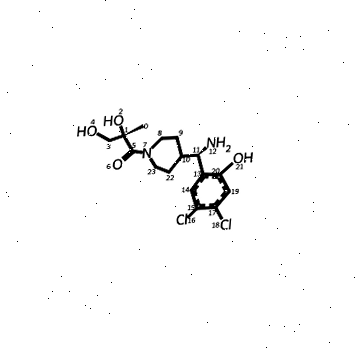 C[C@](O)(CO)C(=O)N1CCC([C@@H](N)c2cc(Cl)c(Cl)cc2O)CC1